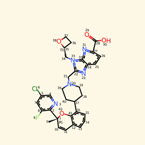 C[C@]1(c2ncc(Cl)cc2F)C=Cc2cccc(C3CCN(Cc4nc5ccc(C(=O)O)nc5n4C[C@@H]4CCO4)CC3)c2O1